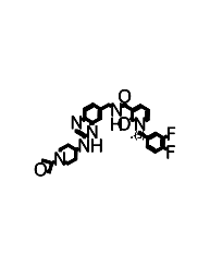 C[C@@H](c1ccc(F)c(F)c1)n1cccc(C(=O)NCc2ccc3ncc(NC4CCN(C5COC5)CC4)nc3c2)c1=O